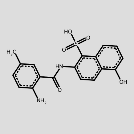 Cc1ccc(N)c(C(=O)Nc2ccc3c(O)cccc3c2S(=O)(=O)O)c1